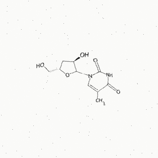 Cc1cn(C2O[C@H](CO)C[C@H]2O)c(=O)[nH]c1=O